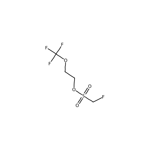 O=S(=O)(CF)OCCOC(F)(F)F